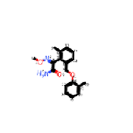 CON=C(C(N)=O)c1c(C)cccc1COc1ccccc1C